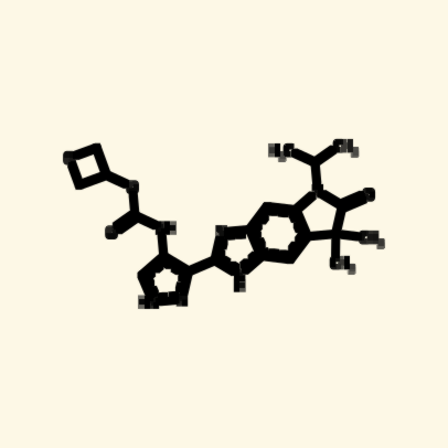 CC(C)N1C(=O)C(C)(C)c2cc3[nH]c(-c4n[nH]cc4NC(=O)OC4COC4)nc3cc21